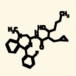 CCCCC(O)C(CC1CC1)C(=O)NC1CN(C)c2ccccc2C(c2ccccc2F)=N1